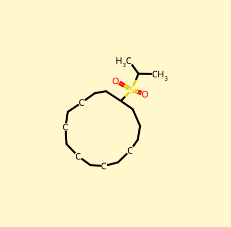 CC(C)S(=O)(=O)C1CCCCCCCCCCCCCC1